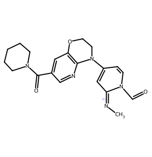 C/N=c1/cc(N2CCOc3cc(C(=O)N4CCCCC4)cnc32)ccn1C=O